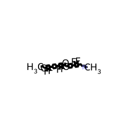 C/C=C/CCc1ccc(C2CCC(OC(=O)c3ccc(C4CCC(c5ccc(OCC)c(F)c5F)CC4)c(F)c3F)CC2)c(F)c1F